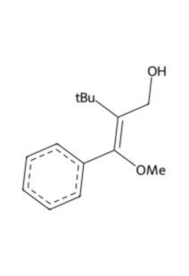 CO/C(=C(\CO)C(C)(C)C)c1ccccc1